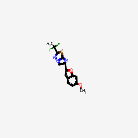 COc1ccc2cc(-c3cn4nc(C(C)(F)F)sc4n3)oc2c1